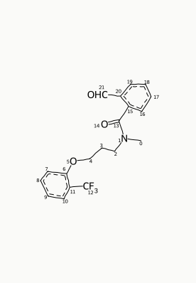 CN(CCCOc1ccccc1C(F)(F)F)C(=O)c1ccccc1C=O